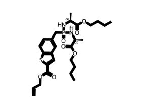 C=CCOC(=O)c1cc2cc(CP(=O)(N[C@@H](C)C(=O)OCCCC)N[C@@H](C)C(=O)OCCCC)ccc2s1